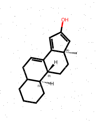 C[C@@]12C=C(O)C=C1C1=CCC3CCCC[C@@H]3[C@H]1CC2